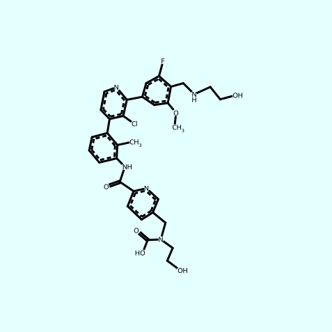 COc1cc(-c2nccc(-c3cccc(NC(=O)c4ccc(CN(CCO)C(=O)O)cn4)c3C)c2Cl)cc(F)c1CNCCO